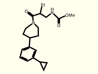 CCC(CNC(=O)OC)C(=O)N1CCC(c2cccc(C3CC3)c2)CC1